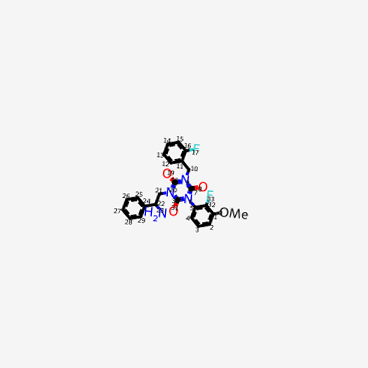 COc1cccc(-n2c(=O)n(Cc3ccccc3F)c(=O)n(CC(N)c3ccccc3)c2=O)c1F